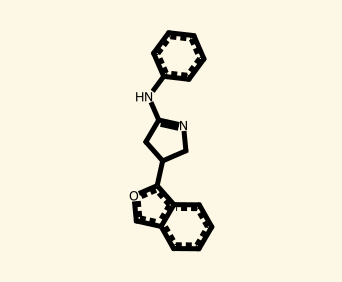 c1ccc(NC2=NCC(c3occ4ccccc34)C2)cc1